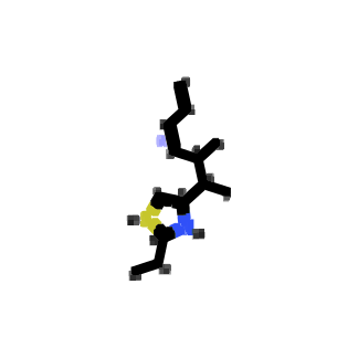 C=C/C=C\C(C)C(C)c1csc(CC)n1